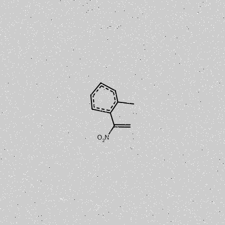 C=C(c1ccccc1C)[N+](=O)[O-]